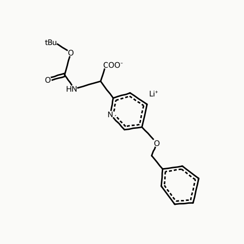 CC(C)(C)OC(=O)NC(C(=O)[O-])c1ccc(OCc2ccccc2)cn1.[Li+]